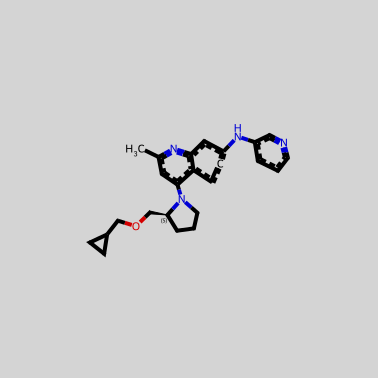 Cc1cc(N2CCC[C@H]2COCC2CC2)c2ccc(Nc3cccnc3)cc2n1